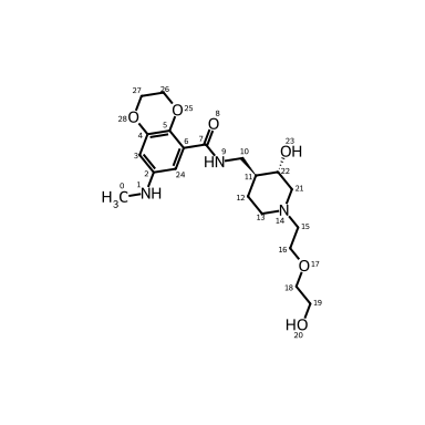 CNc1cc2c(c(C(=O)NC[C@@H]3CCN(CCOCCO)C[C@H]3O)c1)OCCO2